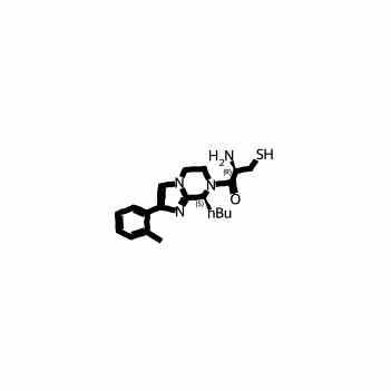 CCCC[C@H]1c2nc(-c3ccccc3C)cn2CCN1C(=O)[C@@H](N)CS